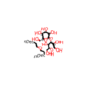 CCCCCCCCCCCCOCCCCCCCCCCCC.OC[C@@H](O)[C@@H](O[C@H]1O[C@H](CO)[C@@H](O)[C@H](O)[C@H]1O)[C@H](O)[C@@H](O)CO